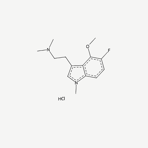 COc1c(F)ccc2c1c(CCN(C)C)cn2C.Cl